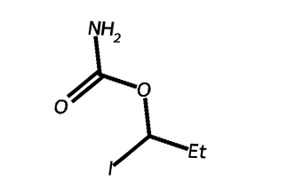 CCC(I)OC(N)=O